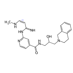 CN/C=C\C(=N)Nc1cc(C(=O)NCC(O)CN2CCc3ccccc3C2)ccn1